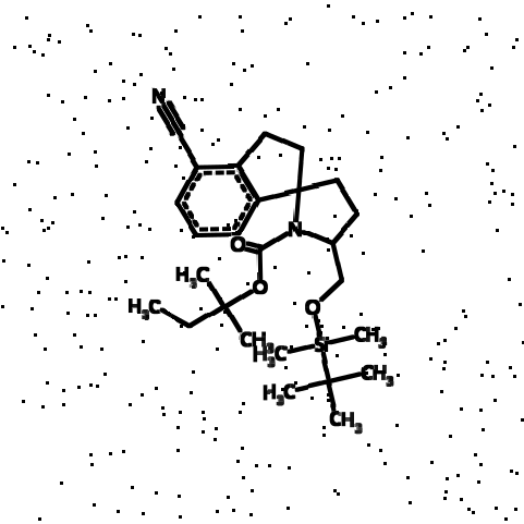 CCC(C)(C)OC(=O)N1C(CO[Si](C)(C)C(C)(C)C)CCC12CCc1c(C#N)cccc12